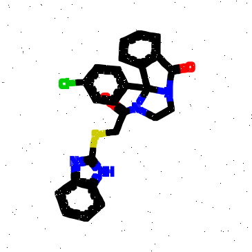 O=C(CSc1nc2ccccc2[nH]1)N1CCN2C(=O)c3ccccc3C12c1ccc(Cl)cc1